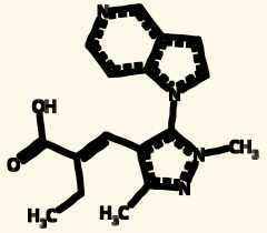 CC/C(=C\c1c(C)nn(C)c1-n1ccc2cnccc21)C(=O)O